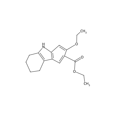 CCOC(=O)c1cc2c3c([nH]c2cc1OCC)CCCC3